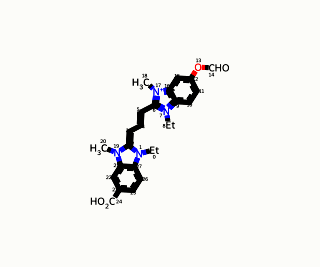 CCN1C(=CC=Cc2n(CC)c3ccc(OC=O)cc3[n+]2C)N(C)c2cc(C(=O)O)ccc21